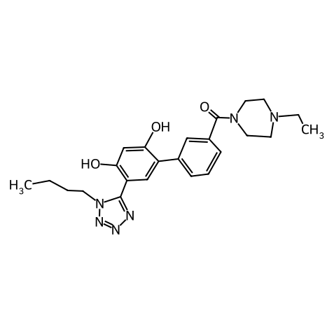 CCCCn1nnnc1-c1cc(-c2cccc(C(=O)N3CCN(CC)CC3)c2)c(O)cc1O